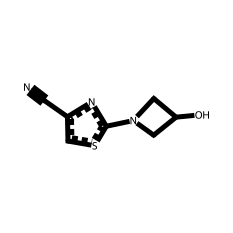 N#Cc1csc(N2CC(O)C2)n1